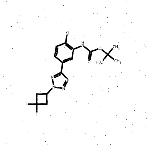 CC(C)(C)OC(=O)Nc1cc(-c2nnn(C3CC(F)(F)C3)n2)ccc1Cl